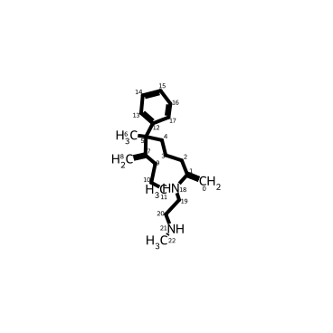 C=C(CCCC(C)(C(=C)CCC)c1ccccc1)NCCNC